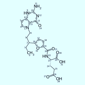 CCC(CCn1ccc2[nH]c(N)nc(=O)c21)c1ccc(C(=O)N[C@@H](CCC(=O)O)C(=O)O)o1